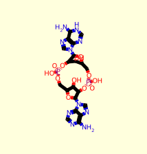 Nc1ncnc2c1ncn2C1OC2COP(=O)(O)OC3C(O)C(COP(=O)(O)OC1C2O)OC3n1cnc2c1N=CNC2N